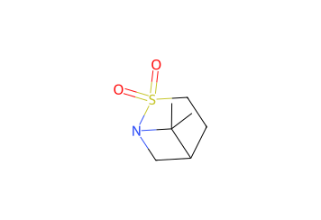 CC1(C)C2CCS(=O)(=O)N1C2